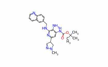 CN1CC(c2cc(NC(=O)OC(C)(C)C)c(N)c(NCc3ccc4ncccc4c3)n2)C=N1